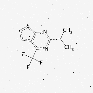 CC(C)c1nc(C(F)(F)F)c2ccsc2n1